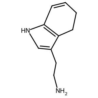 NCCc1c[nH]c2c1CCC=C2